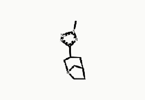 Cn1nnc(C2CC3CCN(C3)C2)n1